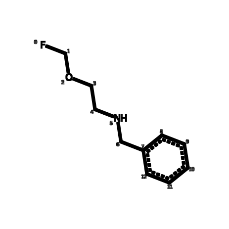 FCOCCNCc1ccccc1